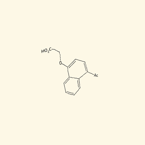 CC(=O)c1ccc(OCC(=O)O)c2ccccc12